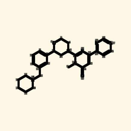 Cn1c(N2CCOC(c3cccc(CN4CCCCC4)c3)C2)nc(-c2ccncn2)cc1=O